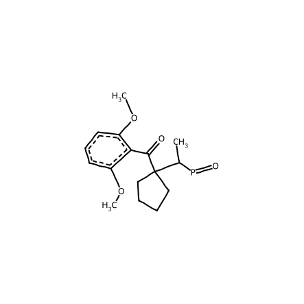 COc1cccc(OC)c1C(=O)C1(C(C)P=O)CCCC1